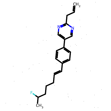 C=CCc1ncc(-c2ccc(C=CCCCC(C)F)cc2)cn1